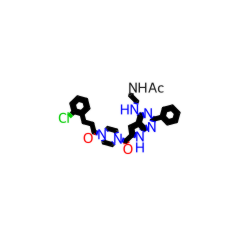 CC(=O)NCCNc1nc(-c2ccccc2)nc2[nH]c(C(=O)N3CCN(C(=O)CCc4ccccc4Cl)CC3)cc12